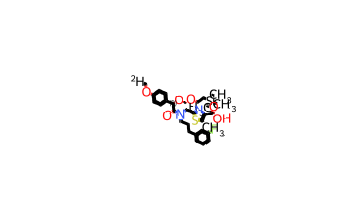 [2H]COc1ccc([C@@H](OCOCC[Si](C)(C)C)C(=O)N(CCCc2cccc(F)c2)Cc2nc(C(=O)O)c(C)s2)cc1